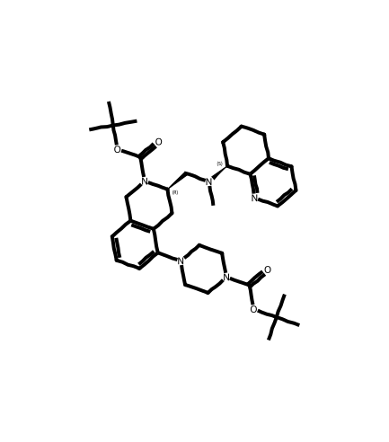 CN(C[C@H]1Cc2c(cccc2N2CCN(C(=O)OC(C)(C)C)CC2)CN1C(=O)OC(C)(C)C)[C@H]1CCCc2cccnc21